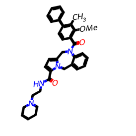 COc1c(C(=O)N2Cc3ccc(C(=O)NCCN4CCCCC4)n3Cc3ccccc32)ccc(-c2ccccc2)c1C